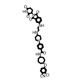 N#Cc1ccc(O[C@@H]2CCC[C@@H](NC(=O)c3ccc(N4CCC(NCCNc5ccc6c(c5)C(=O)N(C5CCC(=O)NC5=O)C6=O)CC4)cc3)CC2)cc1Cl